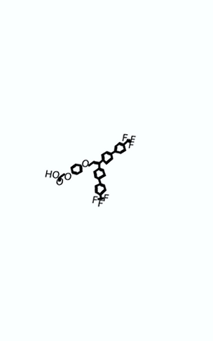 O=C(O)COc1ccc(OCC=C(c2ccc(-c3ccc(C(F)(F)F)cc3)cc2)c2ccc(-c3ccc(C(F)(F)F)cc3)cc2)cc1